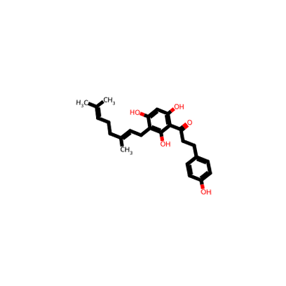 CC(C)=CCC/C(C)=C/Cc1c(O)cc(O)c(C(=O)CCc2ccc(O)cc2)c1O